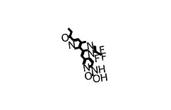 CCC(=O)c1cc(C)c(-c2cc3cnc(NC(=O)O)cc3n3c(C(F)(F)F)cnc23)cn1